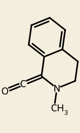 CN1CCc2ccccc2C1=C=O